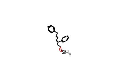 [SiH3]OCCC(CCCCc1ccccc1)c1ccccc1